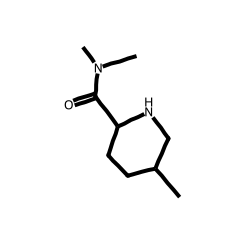 CC1CCC(C(=O)N(C)C)NC1